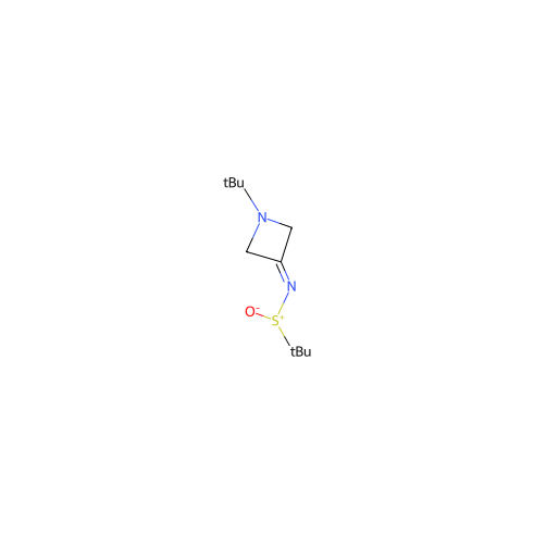 CC(C)(C)N1CC(=N[S+]([O-])C(C)(C)C)C1